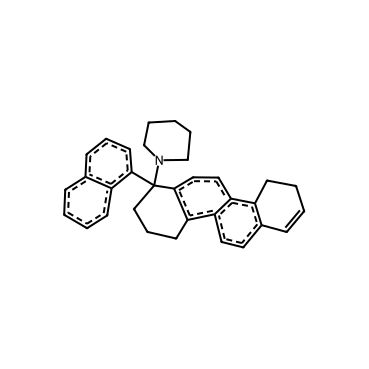 C1=Cc2ccc3c4c(ccc3c2CC1)C(c1cccc2ccccc12)(N1CCCCC1)CCC4